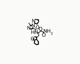 Cc1ncc(C(=O)NC(Cc2coc3ccccc23)C(=O)C(N)=O)n1-c1ccccn1